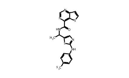 CC(NC(=O)c1ncnc2ccsc12)c1cnc(Nc2ccc(C(F)(F)F)cc2)s1